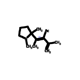 C=C(C)/C(C(C)=O)=C(\C)C1(C)CCCN1C